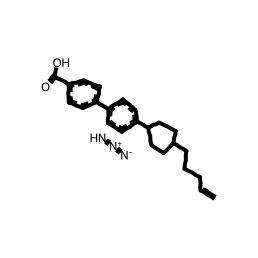 C=CCCCC1CCC(c2ccc(-c3ccc(C(=O)O)cc3)cc2)CC1.[N-]=[N+]=N